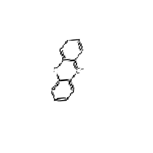 C1=CC2=[O+]c3ccccc3OC2=CC1